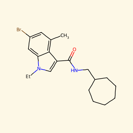 CCn1cc(C(=O)NCC2CCCCCC2)c2c(C)cc(Br)cc21